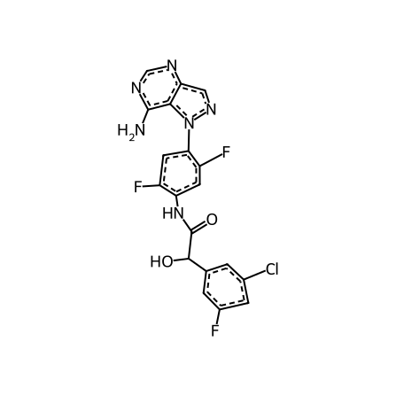 Nc1ncnc2cnn(-c3cc(F)c(NC(=O)C(O)c4cc(F)cc(Cl)c4)cc3F)c12